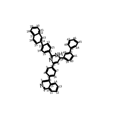 C1=C(c2ccc(-c3cncc4ccccc34)cc2)N=C(c2ccc(-c3ccc4ccccc4c3)cc2)NC1c1cccc(-c2ccccc2)c1